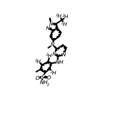 [2H]c1c([2H])c(Nc2nccc(N(C)c3ccc4c(C([2H])([2H])[2H])n(C)nc4c3)n2)c([2H])c(S(N)(=O)=O)c1C